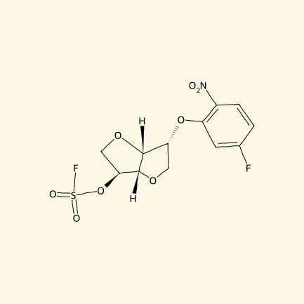 O=[N+]([O-])c1ccc(F)cc1O[C@@H]1CO[C@H]2[C@@H]1OC[C@@H]2OS(=O)(=O)F